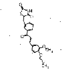 COCOc1ccc(C=CC(=O)c2cccc(CC3SC(=O)NC3=O)c2)cc1OC